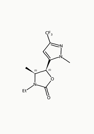 CCN1C(=O)O[C@H](c2cc(C(F)(F)F)nn2C)[C@@H]1C